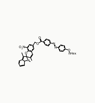 CCCCCCOc1ccc(N=Nc2ccc(C(=O)OCc3cc4c(c([N+](=O)[O-])c3)OC3(C(C)=C4)C(C)=C4C=CC=CC4N3C)cc2)cc1